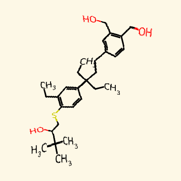 CCc1cc(C(CC)(CC)CCc2ccc(CO)c(CO)c2)ccc1SCC(O)C(C)(C)C